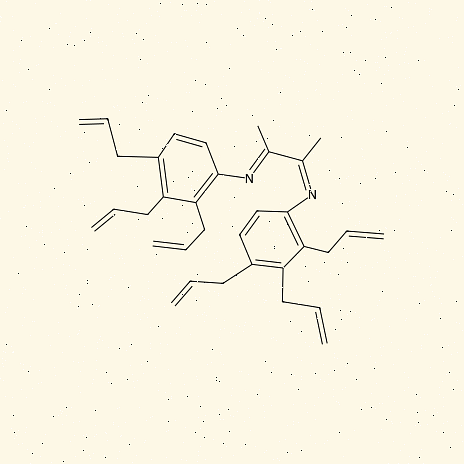 C=CCc1ccc(N=C(C)C(C)=Nc2ccc(CC=C)c(CC=C)c2CC=C)c(CC=C)c1CC=C